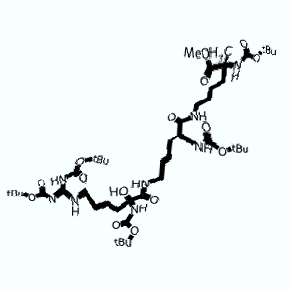 COC(=O)[C@@](C)(CCCCNC(=O)[C@H](CCCCNC(=O)C(O)(CCCCN/C(=N/C(=O)OC(C)(C)C)NC(=O)OC(C)(C)C)NC(=O)OC(C)(C)C)NC(=O)OC(C)(C)C)NC(=O)OC(C)(C)C